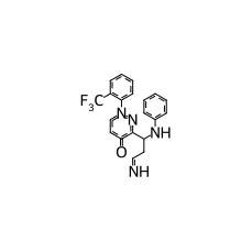 N=CCC(Nc1ccccc1)c1nn(-c2ccccc2C(F)(F)F)ccc1=O